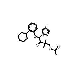 CC(=O)OCC(C)(C)C(=O)C(Oc1ccccc1C1CCCCC1)n1cncn1